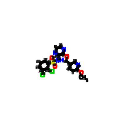 COc1ccc(COc2nccnc2NS(=O)(=O)c2cccc(Cl)c2Cl)cn1